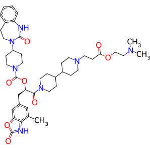 Cc1cc(C[C@@H](OC(=O)N2CCC(N3CCc4ccccc4NC3=O)CC2)C(=O)N2CCC(C3CCN(CCC(=O)OCCN(C)C)CC3)CC2)cc2oc(=O)[nH]c12